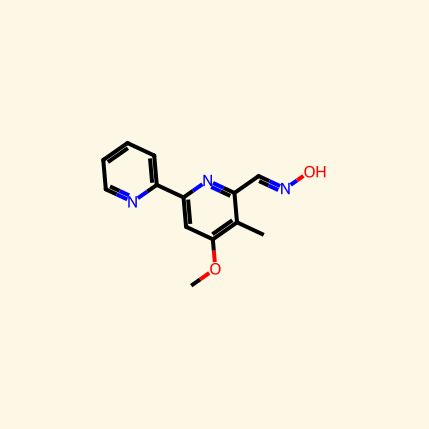 COc1cc(-c2ccccn2)nc(/C=N/O)c1C